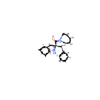 N#CNC(Cc1ccccc1)(Cc1ccccc1)C(=O)N1CCCCC1